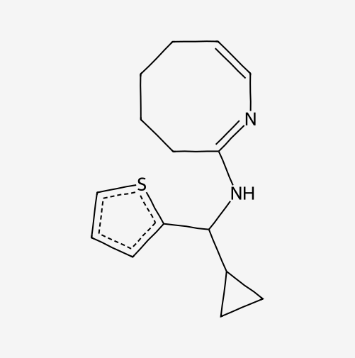 C1=CN=C(NC(c2cccs2)C2CC2)CCCC1